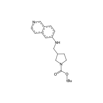 CC(C)(C)OC(=O)N1CCC(CNc2ccc3cnccc3c2)C1